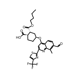 CCCCOC(=O)[C@@H]1C[C@@H](Oc2cc(-c3nc(C(F)(F)F)cs3)nc3c(C)c(C=O)ccc23)CC[C@H]1C(=O)O